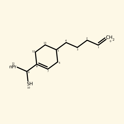 C=CCCCC1CC=C(C(S)CCC)CC1